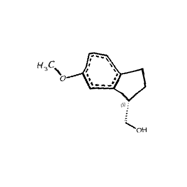 COc1ccc2c(c1)[C@@H](CO)CC2